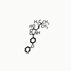 CC(C)(C)C=CC(NC(=O)c1ccc(Oc2cccnc2)cc1)C(=O)O